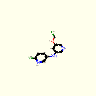 FCOc1cncc(Nc2ccc(Br)nc2)c1